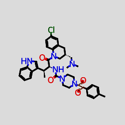 Cc1ccc(S(=O)(=O)N2CCN(C(=O)N[C@@H](C(=O)N3C[C@@H](CN(C)C)Cc4cc(Cl)ccc43)[C@@H](C)c3c[nH]c4ccccc34)CC2)cc1